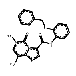 Cc1cn(C)c(=O)n2c(C(=O)Nc3ccccc3OCc3ccccc3)cnc12